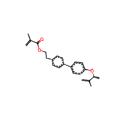 C=C(C)C(=C)Oc1ccc(-c2ccc(CCOC(=O)C(=C)C)cc2)cc1